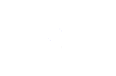 CC(C)N1CCCN[C@@H](C)C1